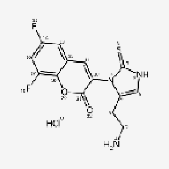 Cl.NCCc1c[nH]c(=S)n1-c1cc2cc(F)cc(F)c2oc1=O